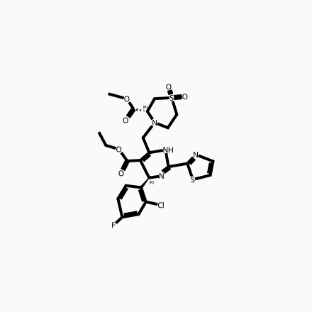 CCOC(=O)C1=C(CN2CCS(=O)(=O)C[C@H]2C(=O)OC)NC(c2nccs2)=N[C@H]1c1ccc(F)cc1Cl